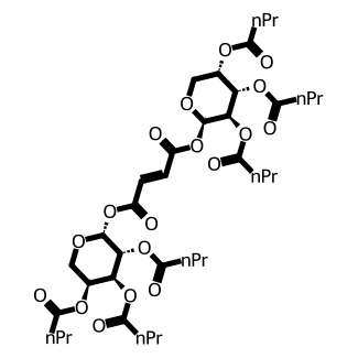 CCCC(=O)O[C@@H]1[C@@H](OC(=O)CCC)[C@@H](OC(=O)/C=C/C(=O)O[C@H]2OC[C@H](OC(=O)CCC)[C@H](OC(=O)CCC)[C@H]2OC(=O)CCC)OC[C@@H]1OC(=O)CCC